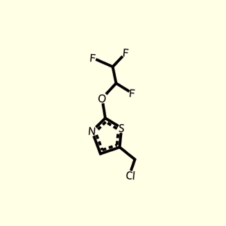 FC(F)C(F)Oc1ncc(CCl)s1